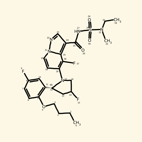 CCCCOc1ccc(F)cc1[C@H]1CC(F)CN1c1ccn2ncc(C(=O)NS(=O)(=O)N(C)CC)c2c1F